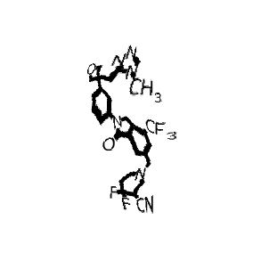 Cn1cnnc1CC1(c2cccc(N3Cc4c(cc(CN5CCC(F)(F)C(C#N)C5)cc4C(F)(F)F)C3=O)c2)COC1